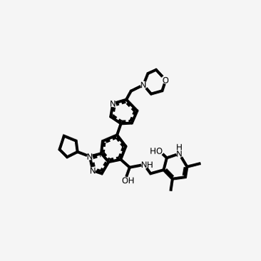 CC1=CC(C)=C(CNC(O)c2cc(-c3ccc(CN4CCOCC4)nc3)cc3c2cnn3C2CCCC2)C(O)N1